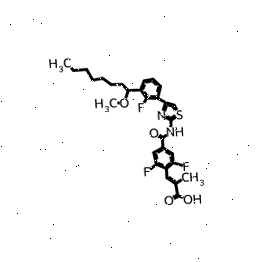 CCCCCCCC(OC)c1cccc(-c2csc(NC(=O)c3cc(F)c(C=C(C)C(=O)O)c(F)c3)n2)c1F